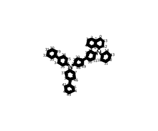 C1=c2ccccc2=C(N(c2ccccc2)c2ccc(-c3ccc(N(c4ccc(-c5ccccc5)cc4)c4ccc(-c5ccccc5)cc4)cc3)cc2)CC1